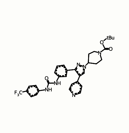 CC(C)(C)OC(=O)N1CCC(n2cc(-c3ccncc3)c(-c3cccc(NC(=O)Nc4ccc(C(F)(F)F)cc4)c3)n2)CC1